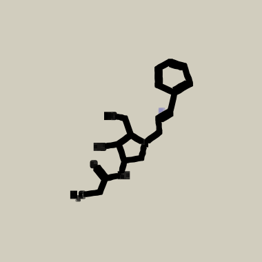 CCC(=O)NC1CN(C/C=C/c2ccccc2)C(CO)C1O